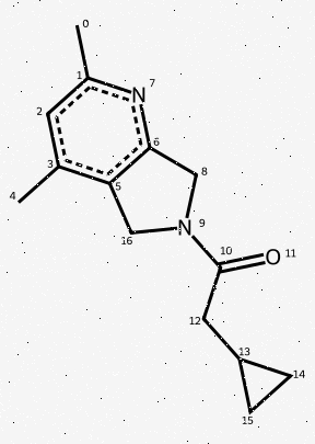 Cc1cc(C)c2c(n1)CN(C(=O)CC1CC1)C2